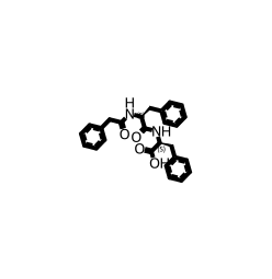 O=C(Cc1ccccc1)N[C@@H](Cc1ccccc1)C(=O)N[C@@H](Cc1ccccc1)C(=O)O